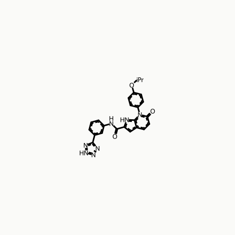 CC(C)Oc1ccc(-n2c(=O)ccc3cc(C(=O)Nc4cccc(-c5nn[nH]n5)c4)[nH]c32)cc1